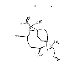 C=CCP(=O)(O)C12CCC(P(=O)(O)C(=C)C)(CC1)OC(CCCC)CCC(CCCC)O2